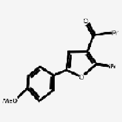 COc1ccc(-c2cc(C(=O)C(C)C)c(C(C)C)o2)cc1